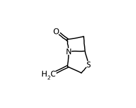 C=C1CSC2CC(=O)N12